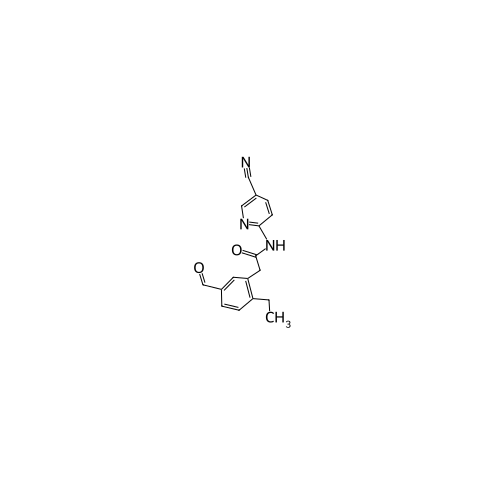 CCc1ccc(C=O)cc1CC(=O)Nc1ccc(C#N)cn1